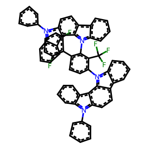 Fc1cccc(F)c1-c1ccc(-n2c3ccccc3c3ccc4c(c5ccccc5n4-c4ccccc4)c32)c(C(F)(F)F)c1-n1c2ccccc2c2ccc3c(c4ccccc4n3-c3ccccc3)c21